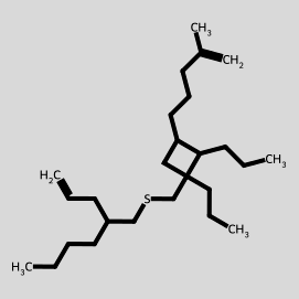 C=CCC(CCCC)CSCC1(CCC)CC(CCCC(=C)C)C1CCC